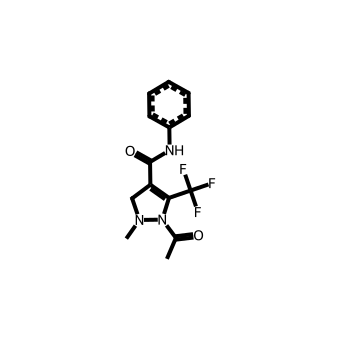 CC(=O)N1C(C(F)(F)F)=C(C(=O)Nc2ccccc2)CN1C